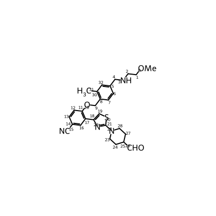 COCCNCc1ccc(COc2ccc(C#N)cc2-c2csc(N3CCC(C=O)CC3)n2)c(C)c1